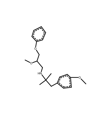 COc1ccc(CC(C)(C)NCC(COc2ccccc2)OC)cc1